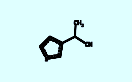 CC(C#N)c1ccsc1